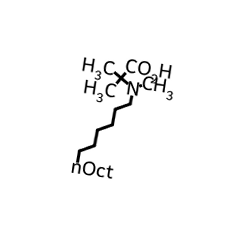 CCCCCCCCCCCCCCN(C)C(C)(C)C(=O)O